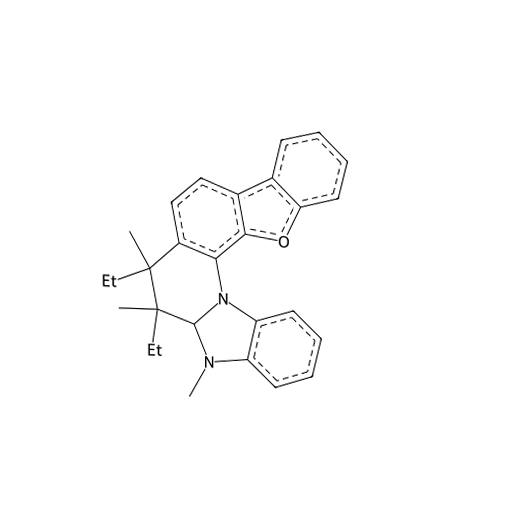 CCC1(C)c2ccc3c(oc4ccccc43)c2N2c3ccccc3N(C)C2C1(C)CC